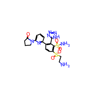 NCCS(=O)(=O)c1ccc(-c2cccc(N3CCCC3=O)n2)c(-c2nnn[nH]2)c1S(N)(=O)=O